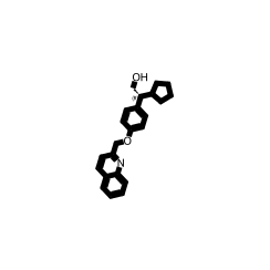 OC[C@@H](c1ccc(OCc2ccc3ccccc3n2)cc1)C1CCCC1